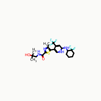 Cc1nc(C(=O)NCC(C)(C)O)sc1C1=CNC(NC2CCCCC2(F)F)C=C1C(F)(F)F